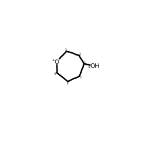 OC1[CH]COCCC1